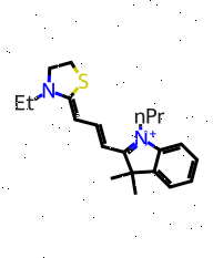 CCC[N+]1=C(/C=C/C=C2\SCCN2CC)C(C)(C)c2ccccc21